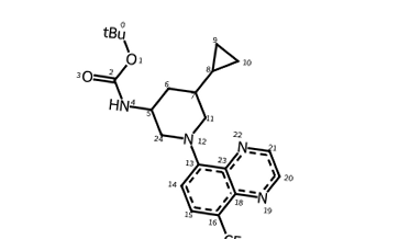 CC(C)(C)OC(=O)NC1CC(C2CC2)CN(c2ccc(C(F)(F)F)c3nccnc23)C1